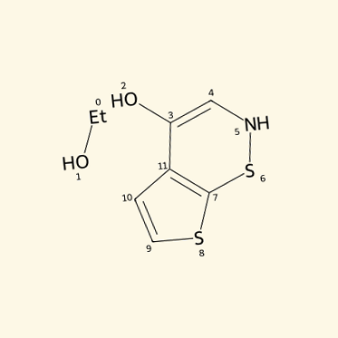 CCO.OC1=CNSc2sccc21